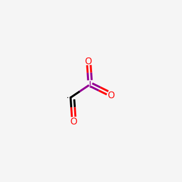 O=[C]I(=O)=O